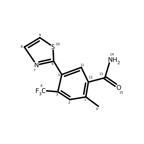 Cc1cc(C(F)(F)F)c(-c2nccs2)cc1C(N)=O